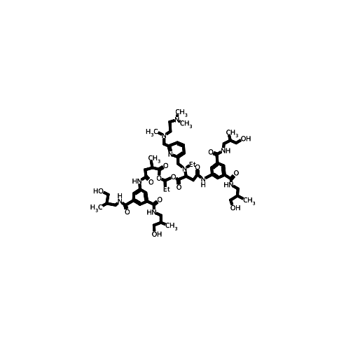 CCC(OC(=O)C(C)CC(=O)Nc1cc(C(=O)NCC(C)CO)cc(C(=O)NCC(C)CO)c1)OC(=O)C(CC(=O)Nc1cc(C(=O)NCC(C)CO)cc(C(=O)NCC(C)CO)c1)N(CC)Cc1cccc(CN(C)CCN(C)C)n1